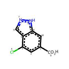 O=C(O)c1cc(Cl)c2cn[nH]c2c1